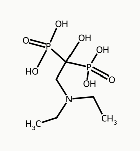 CCN(CC)CC(O)(P(=O)(O)O)P(=O)(O)O